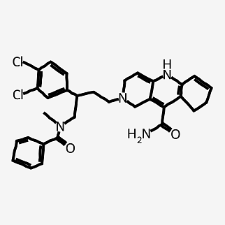 CN(CC(CCN1CC=C2NC3=C(CCC=C3)C(C(N)=O)=C2C1)c1ccc(Cl)c(Cl)c1)C(=O)c1ccccc1